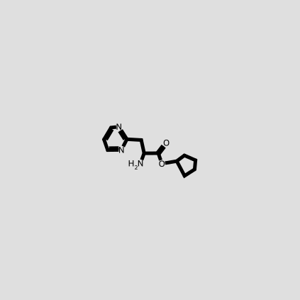 NC(Cc1ncccn1)C(=O)OC1CCCC1